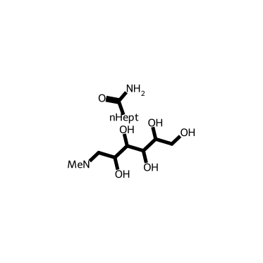 CCCCCCCC(N)=O.CNCC(O)C(O)C(O)C(O)CO